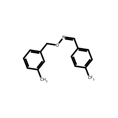 Cc1cccc(CO/N=[C]\c2ccc(C(F)(F)F)cc2)c1